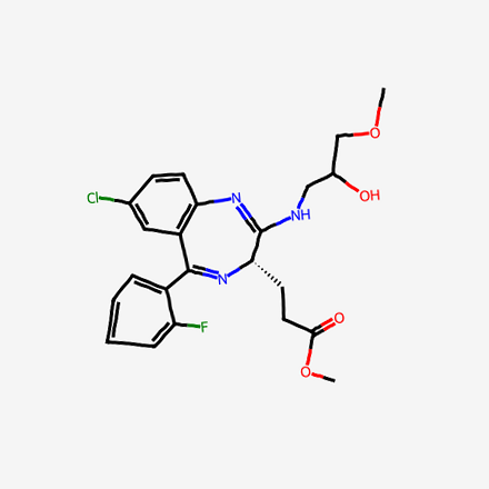 COCC(O)CNC1=Nc2ccc(Cl)cc2C(c2ccccc2F)=N[C@H]1CCC(=O)OC